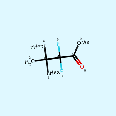 CCCCCCCC(C)(CCCCCC)C(F)(F)C(=O)OC